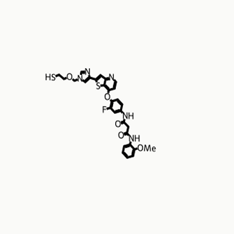 COc1ccccc1NC(=O)CC(=O)Nc1ccc(Oc2ccnc3cc(-c4cn(COCCS)cn4)sc23)c(F)c1